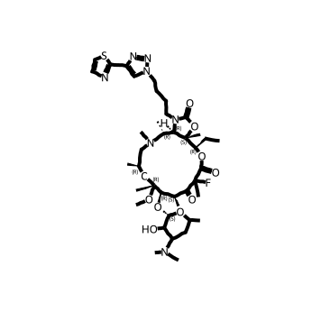 CC[C@H]1OC(=O)C(C)(F)C(=O)[C@@H](C)[C@@H](O[C@@H]2OC(C)CC(N(C)C)C2O)[C@](C)(OC)C[C@@H](C)CN(C)[C@H](C)[C@H]2N(CCCCn3cc(-c4nccs4)nn3)C(=O)O[C@]12C